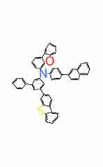 c1ccc(-c2cc(-c3ccc4c(c3)sc3ccccc34)cc(N(c3ccc(-c4ccc5ccccc5c4)cc3)c3cccc4c3oc3ccccc34)c2)cc1